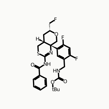 CC(C)(C)OC(=O)NCc1cc([C@]23CO[C@@H](CF)C[C@H]2CSC(NC(=O)c2ccccc2)=N3)c(F)cc1F